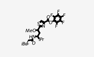 CC[C@H](C)CC(=O)NC(CC(OC)c1nc(C(=O)Oc2c(F)c(F)c(F)c(F)c2F)cs1)C(C)C